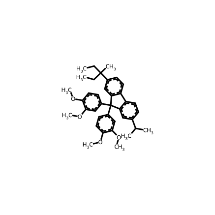 CCC(C)(CC)c1ccc2c(c1)C(c1ccc(OC)c(OC)c1)(c1ccc(OC)c(OC)c1)c1cc(C(C)C)ccc1-2